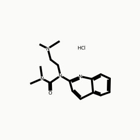 CN(C)CCN(C(=O)N(C)C)c1ccc2ccccc2n1.Cl